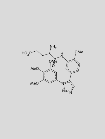 COc1ccc(-c2cnnn2-c2cc(OC)c(OC)c(OC)c2)cc1NC(=O)C(N)CCC(=O)O